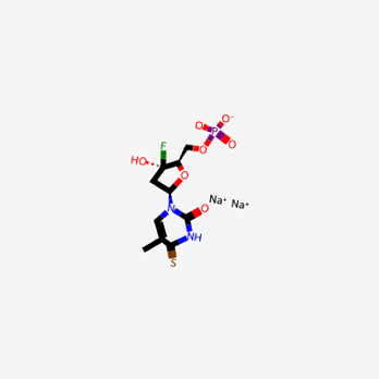 Cc1cn([C@H]2C[C@@](O)(F)[C@@H](COP(=O)([O-])[O-])O2)c(=O)[nH]c1=S.[Na+].[Na+]